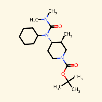 C[C@H]1CN(C(=O)OC(C)(C)C)CC[C@@H]1N(C(=O)N(C)C)C1CCCCC1